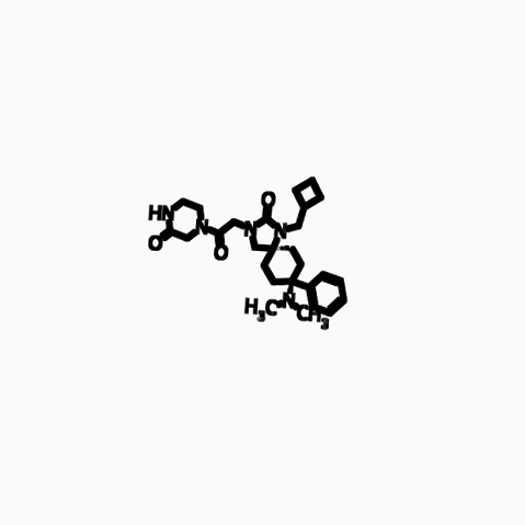 CN(C)[C@]1(c2ccccc2)CC[C@]2(CC1)CN(CC(=O)N1CCNC(=O)C1)C(=O)N2CC1CCC1